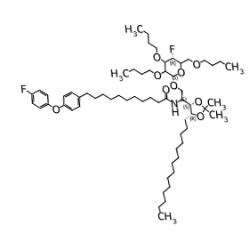 CCCCCCCCCCCCCC[C@H]1OC(C)(C)O[C@H]1[C@H](CO[C@H]1OC(COCCCC)[C@@H](F)C(OCCCC)C1OCCCC)NC(=O)CCCCCCCCCCc1ccc(Oc2ccc(F)cc2)cc1